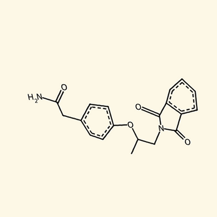 CC(CN1C(=O)c2ccccc2C1=O)Oc1ccc(CC(N)=O)cc1